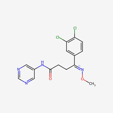 CO/N=C(\CCC(=O)Nc1cncnc1)c1ccc(Cl)c(Cl)c1